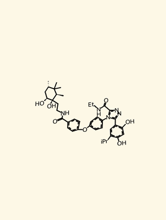 CCNC(=O)c1nnc(-c2cc(C(C)C)c(O)cc2O)n1-c1ccc(Oc2ccc(C(=O)NCC[C@@]3(O)[C@H](C)C(C)(C)[C@@H](C)C[C@@H]3O)cc2)cc1